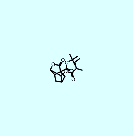 CCC(C)C(=O)OC1C2CC3C1OC(=O)C3(C(=O)OC(C)(C)C)C2